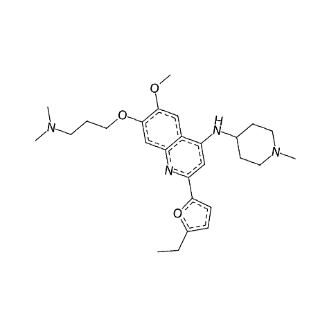 CCc1ccc(-c2cc(NC3CCN(C)CC3)c3cc(OC)c(OCCCN(C)C)cc3n2)o1